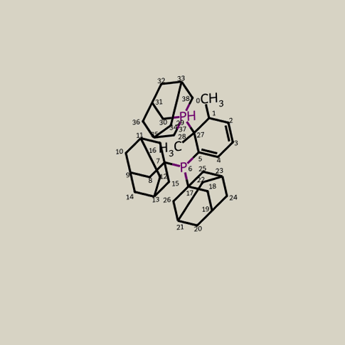 CC1C=CC=C(P(C23CC4CC(CC(C4)C2)C3)C23CC4CC(CC(C4)C2)C3)C1(C)[PH]12CC3CC(CC(C3)C1)C2